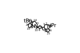 CC(C)N1CCC(C(C)(C)CC(C)(C)N2CCC(C(C)(C)C)C3(CCCC3)C2)C2CCCC21